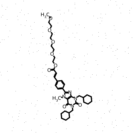 COCCOCCOCCOCCOC(=O)/C=C/c1ccc(-c2nc3c(c(=O)n(CC4CCCCC4)c(=O)n3CC3CCCCC3)n2C)cc1